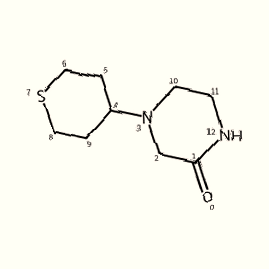 O=C1CN(C2CCSCC2)CCN1